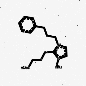 CCCCCCCCCCCCCc1n(CCCC)cc[n+]1CCCc1ccccc1